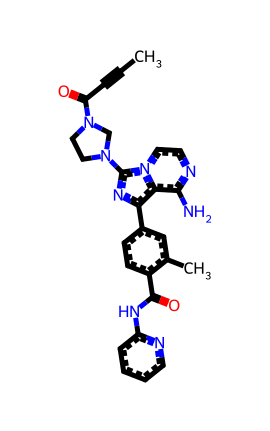 CC#CC(=O)N1CCN(c2nc(-c3ccc(C(=O)Nc4ccccn4)c(C)c3)c3c(N)nccn23)C1